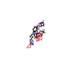 COc1ccc(-c2ccc(Cc3c(CC(C)(C)C(=O)O)n(C(=O)CC(C)(C)C)c4cc(OCc5ccc(C)cn5)ccc34)cc2)cn1